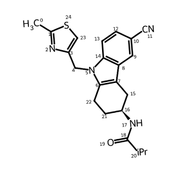 Cc1nc(Cn2c3c(c4cc(C#N)ccc42)C[C@@H](NC(=O)C(C)C)CC3)cs1